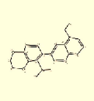 CCc1cccc2ncc(-c3ccc4c(c3C(C)C)OCCO4)cc12